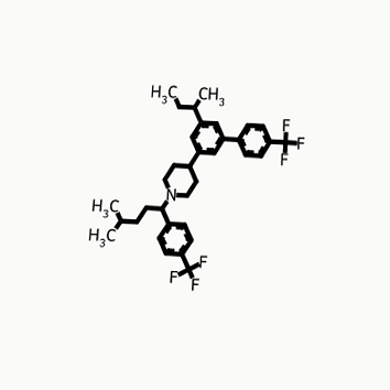 CCC(C)c1cc(-c2ccc(C(F)(F)F)cc2)cc(C2CCN(C(CCC(C)C)c3ccc(C(F)(F)F)cc3)CC2)c1